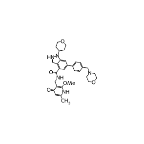 COc1[nH]c(C)cc(=O)c1CNC(=O)c1cc(-c2ccc(CN3CCOCC3)cc2)cc2c1CNN2C1CCOCC1